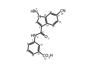 CCCCn1cc(C(=O)Nc2cccc(C(=O)O)c2)c2ccc(C#N)cc21